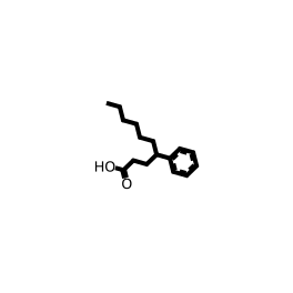 CCCCCCC(CCC(=O)O)c1ccccc1